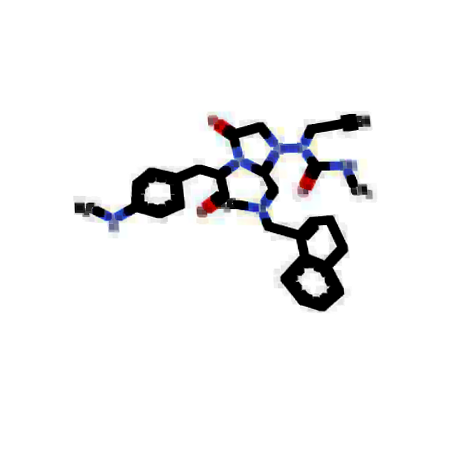 C#CCN(C(=O)NC)N1CC(=O)N(C(C=O)Cc2ccc(NC)cc2)[C@@H]1CN(C)CC1=CCCc2ccccc21